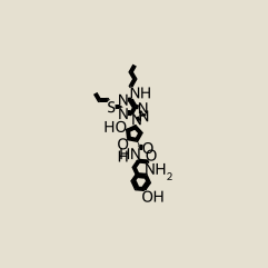 CCCCNc1nc(SCCC)nc2c1nnn2[C@@H]1C[C@H](C(=O)NC(Cc2ccc(O)cc2)C(N)=O)[C@@H](O)[C@H]1O